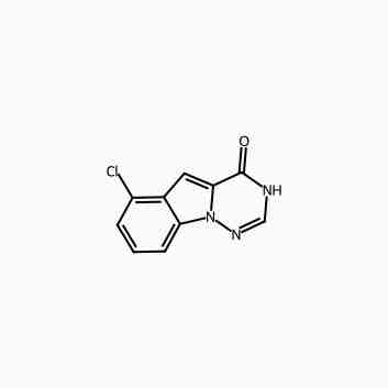 O=c1[nH]cnn2c1cc1c(Cl)cccc12